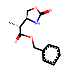 C[C@@H](C(=O)OCc1ccccc1)[C@H]1COC(=O)N1